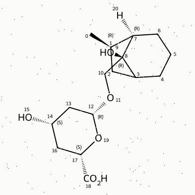 C[C@@H]1CC2CCC[C@H]1[C@@]2(O)CO[C@H]1C[C@@H](O)C[C@@H](C(=O)O)O1